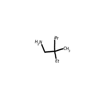 CCC(C)(CN)C(C)C